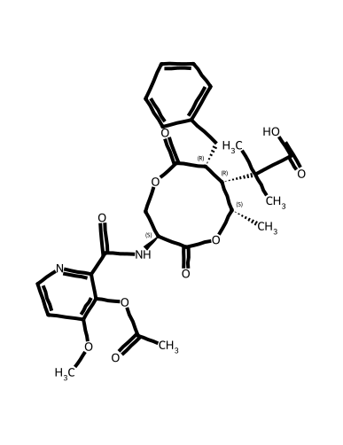 COc1ccnc(C(=O)N[C@H]2COC(=O)[C@H](Cc3ccccc3)[C@H](C(C)(C)C(=O)O)[C@H](C)OC2=O)c1OC(C)=O